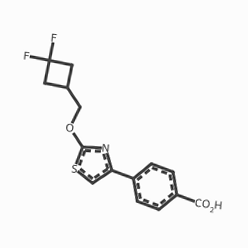 O=C(O)c1ccc(-c2csc(OCC3CC(F)(F)C3)n2)cc1